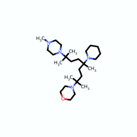 CN1CCN(C(C)(C)CCC(C)(CCC(C)(C)N2CCOCC2)N2CCCCC2)CC1